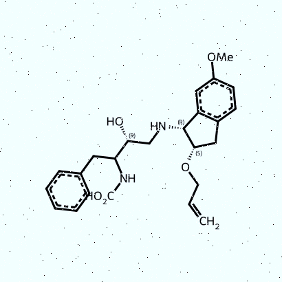 C=CCO[C@H]1Cc2ccc(OC)cc2[C@H]1NC[C@@H](O)C(Cc1ccccc1)NC(=O)O